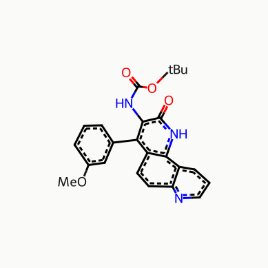 COc1cccc(-c2c(NC(=O)OC(C)(C)C)c(=O)[nH]c3c2ccc2ncccc23)c1